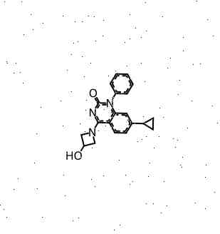 O=c1nc(N2CC(O)C2)c2ccc(C3CC3)cc2n1-c1ccccc1